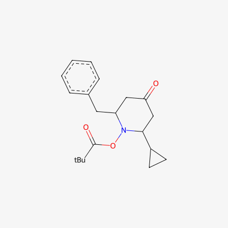 CC(C)(C)C(=O)ON1C(Cc2ccccc2)CC(=O)CC1C1CC1